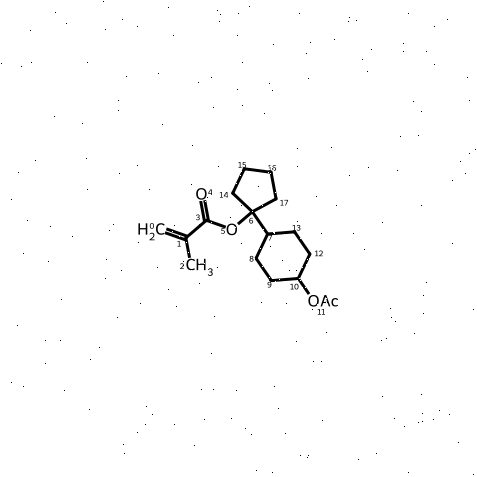 C=C(C)C(=O)OC1(C2CCC(OC(C)=O)CC2)CCCC1